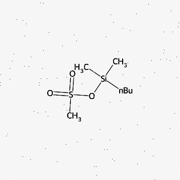 CCCC[Si](C)(C)OS(C)(=O)=O